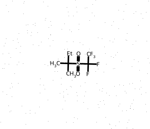 CCC(C)(C)S(=O)(=O)C(F)(F)C(F)(F)F